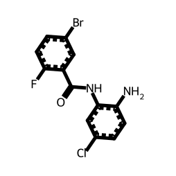 Nc1ccc(Cl)cc1NC(=O)c1cc(Br)ccc1F